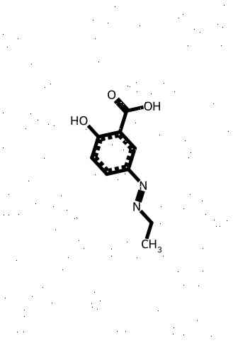 CC/N=N/c1ccc(O)c(C(=O)O)c1